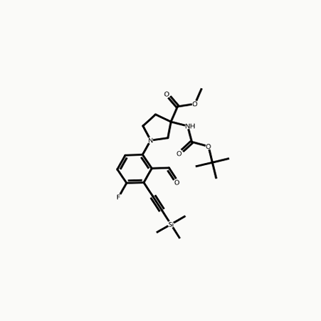 COC(=O)C1(NC(=O)OC(C)(C)C)CCN(c2ccc(F)c(C#C[Si](C)(C)C)c2C=O)C1